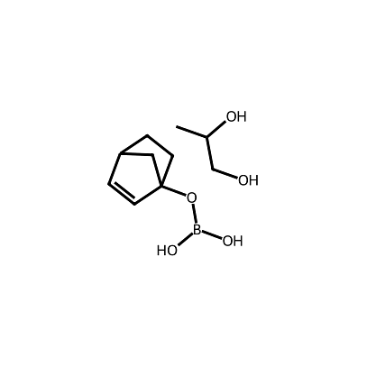 CC(O)CO.OB(O)OC12C=CC(CC1)C2